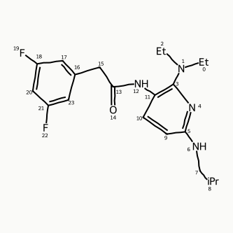 CCN(CC)c1nc(NCC(C)C)ccc1NC(=O)Cc1cc(F)cc(F)c1